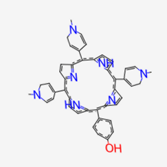 CN1C=CC(c2c3nc(c(C4=CCN(C)C=C4)c4ccc([nH]4)c(-c4ccc(O)cc4)c4nc(c(C5=CCN(C)C=C5)c5ccc2[nH]5)C=C4)C=C3)=CC1